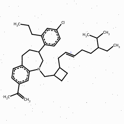 C=C(C)c1ccc2c(c1)N(CC1CCC1C/C=C/CCC(CC)C(C)C)CC(c1ccc(Cl)cc1CCC)CC2